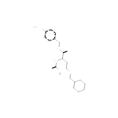 COc1ccc(CNC(=O)C(CCOCC2CCCCC2)NC(=O)OC(C)(C)C)cc1